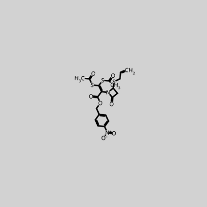 C=CCSC1CC(=O)N1C(C(=O)OCc1ccc([N+](=O)[O-])cc1)=C(SC(C)=O)SC(C)=O